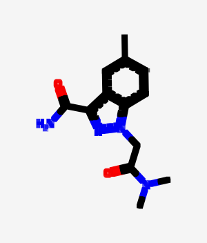 Cc1[c]cc2c(c1)c(C(N)=O)nn2CC(=O)N(C)C